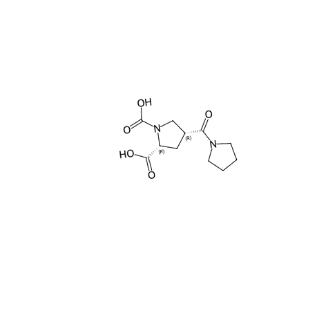 O=C(O)[C@H]1C[C@@H](C(=O)N2CCCC2)CN1C(=O)O